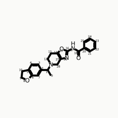 CC(c1ccc2c(c1)OCC2)N1CCc2oc(NC(=O)c3ccccc3)nc2C1